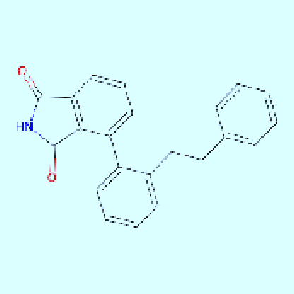 O=C1NC(=O)c2c1cccc2-c1ccccc1CCc1ccccc1